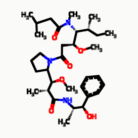 CC[C@@H](C)[C@H]([C@H](CC(=O)N1CCCC1[C@@H](OC)[C@@H](C)C(=O)N[C@@H](C)[C@H](O)c1ccccc1)OC)N(C)C(=O)CC(C)C